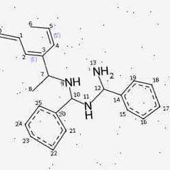 C=C/C=C(\C=C/C)C(C)NC(NC(N)c1ccccc1)c1ccccc1